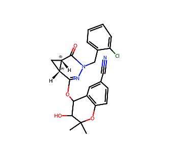 CC1(C)Oc2ccc(C#N)cc2C(OC2=NN(Cc3ccccc3Cl)C(=O)[C@H]3C[C@@H]23)C1O